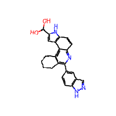 OC(O)c1cc2c(ccc3nc(-c4ccc5[nH]ncc5c4)c4c(c32)CCCC4)[nH]1